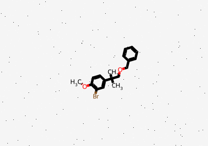 COc1ccc(C(C)(C)COCc2ccccc2)cc1Br